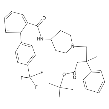 CC(C)(C)OC(=O)CC(C)(CN1CCC(NC(=O)c2ccccc2-c2ccc(C(F)(F)F)cc2)CC1)c1ccccc1